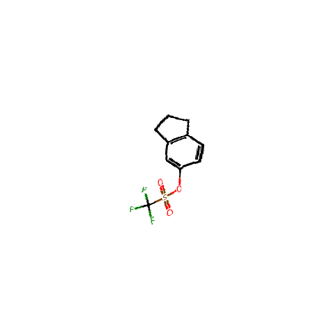 O=S(=O)(Oc1ccc2c(c1)CCC2)C(F)(F)F